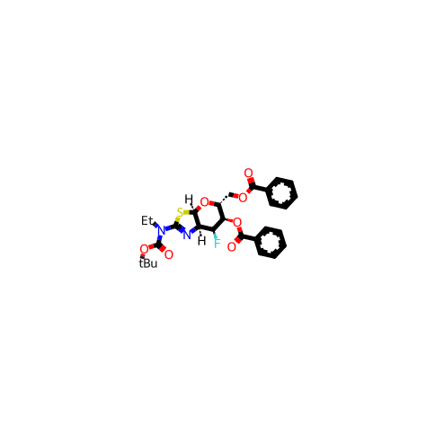 CCN(C(=O)OC(C)(C)C)C1=N[C@@H]2[C@H](F)[C@H](OC(=O)c3ccccc3)[C@@H](COC(=O)c3ccccc3)O[C@@H]2S1